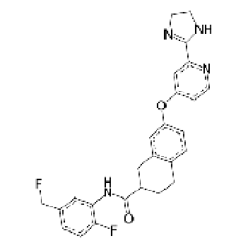 O=C(Nc1cc(CF)ccc1F)C1CCc2ccc(Oc3ccnc(C4=NCCN4)c3)cc2C1